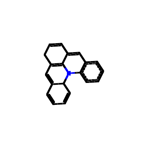 C1=CC2=CC3=C4C(=Cc5ccccc5N4C2C=C1)C=CC3